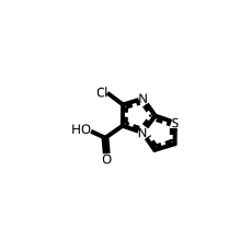 O=C(O)c1c(Cl)nc2sccn12